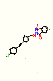 COc1ccccc1C(=O)NOCc1ccc(C#Cc2ccc(Cl)cc2)cc1